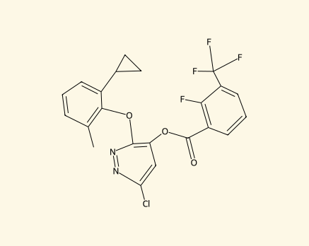 Cc1cccc(C2CC2)c1Oc1nnc(Cl)cc1OC(=O)c1cccc(C(F)(F)F)c1F